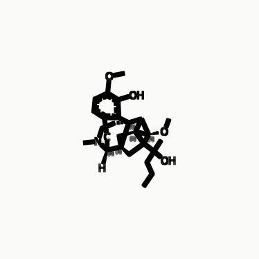 CCCC(C)(O)C12C[C@@]34C[C@]15C([C@@]31CCN(C)[C@@H]4Cc3ccc(OC)c(O)c31)[C@@]25OC